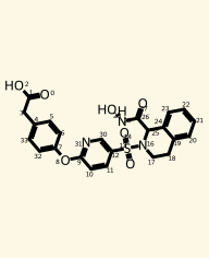 O=C(O)Cc1ccc(Oc2ccc(S(=O)(=O)N3CCc4ccccc4C3C(=O)NO)cn2)cc1